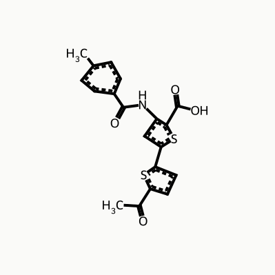 CC(=O)c1ccc(-c2cc(NC(=O)c3ccc(C)cc3)c(C(=O)O)s2)s1